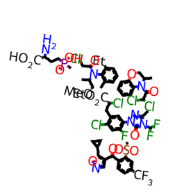 CC1COc2ccccc2N1C(=O)C(Cl)Cl.CCOC(=O)C(Cl)Cc1cc(-n2nc(C)n(C(F)F)c2=O)c(F)cc1Cl.CCc1cccc(C)c1N(C(=O)CCl)C(C)COC.CP(=O)(O)CCC(N)C(=O)O.CS(=O)(=O)c1cc(C(F)(F)F)ccc1C(=O)c1cnoc1C1CC1